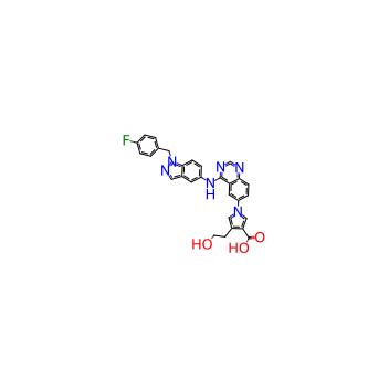 O=C(O)c1cn(-c2ccc3ncnc(Nc4ccc5c(cnn5Cc5ccc(F)cc5)c4)c3c2)cc1CCO